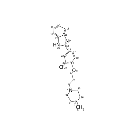 CN1CCN(CCCOc2ccc(-c3nc4ccccc4[nH]3)cc2Cl)CC1